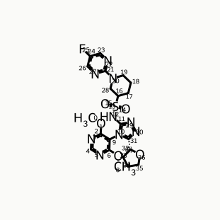 COc1ncnc(OC)c1-n1c(NS(=O)(=O)C2CCCN(c3ncc(F)cn3)C2)nnc1[C@H]1CCCO1